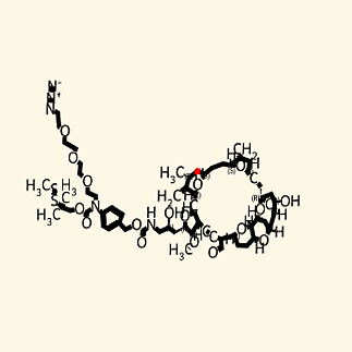 C=C1C[C@@H]2CC[C@]34C[C@@H](O)[C@H](O3)[C@H]3C[C@@H](O4)[C@H]4O[C@H](CC[C@@H]4O3)C(C=O)CC[C@@H]3[C@@H](OC)[C@@H](C[C@H](O)CNC(=O)OCc4ccc(N(CCOCCOCCOCCN=[N+]=[N-])C(=O)OCC(C)(C)SSC)cc4)O[C@H]3C[C@H]3O[C@@H](CC[C@@H]1O2)C[C@@H](C)C3=C